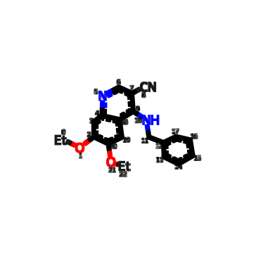 CCOc1cc2ncc(C#N)c(NCc3ccccc3)c2cc1OCC